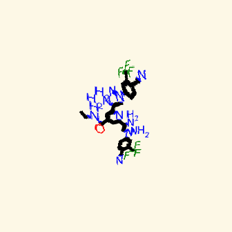 CCNC(=O)c1cc(/C(N)=C/N(N)c2ccc(C#N)c(C(F)(F)F)c2)nc(/C(N)=C/N(N)c2ccc(C#N)c(C(F)(F)F)c2)c1